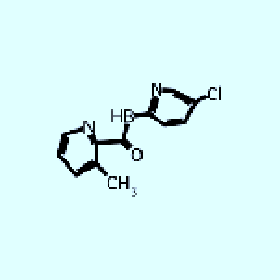 Cc1cccnc1C(=O)Bc1ccc(Cl)cn1